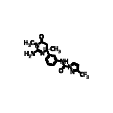 CN1C(=O)C[C@@](C)(c2cccc(NC(=O)n3ccc(C(F)(F)F)n3)c2)N=C1N